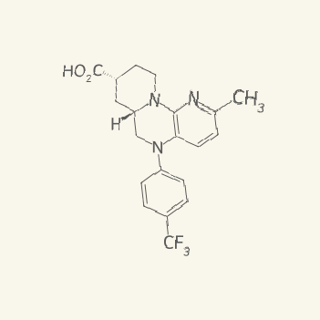 Cc1ccc2c(n1)N1CC[C@@H](C(=O)O)C[C@H]1CN2c1ccc(C(F)(F)F)cc1